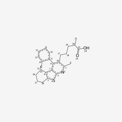 Cc1nc2sc3c(c2c(-c2ccccc2F)c1CCCC(C)C(=O)O)CCCC3